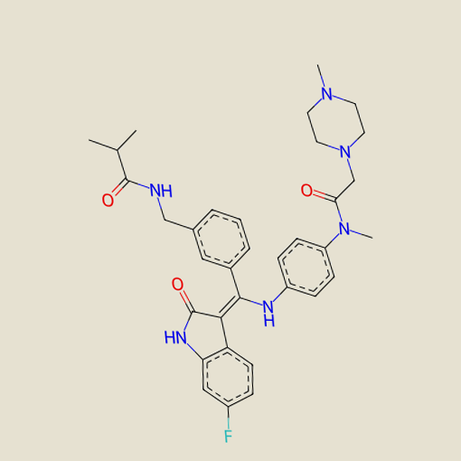 CC(C)C(=O)NCc1cccc(C(Nc2ccc(N(C)C(=O)CN3CCN(C)CC3)cc2)=C2C(=O)Nc3cc(F)ccc32)c1